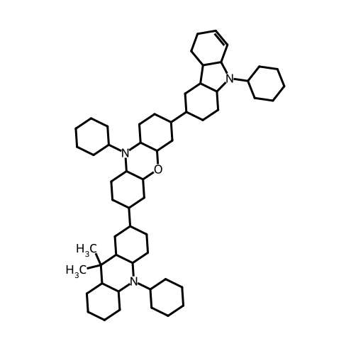 CC1(C)C2CCCCC2N(C2CCCCC2)C2CCC(C3CCC4C(C3)OC3CC(C5CCC6C(C5)C5CCC=CC5N6C5CCCCC5)CCC3N4C3CCCCC3)CC21